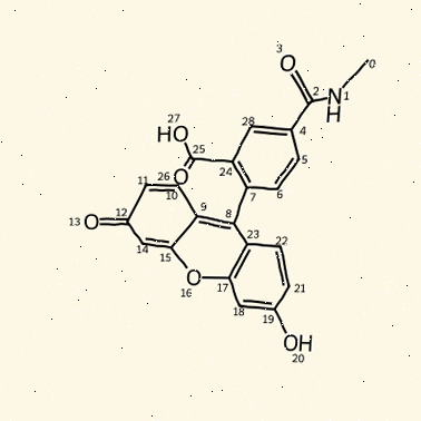 CNC(=O)c1ccc(-c2c3ccc(=O)cc-3oc3cc(O)ccc23)c(C(=O)O)c1